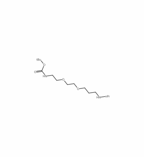 CCCNCCCOCCOCCNC(=O)OC(C)(C)C